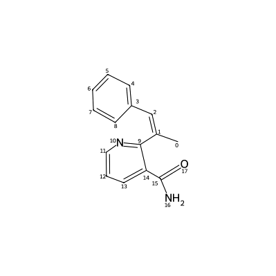 CC(=Cc1ccccc1)c1ncccc1C(N)=O